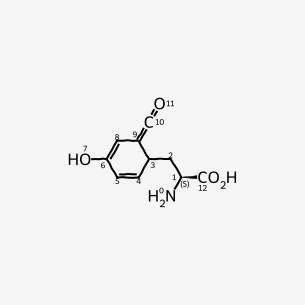 N[C@@H](CC1C=CC(O)=CC1=C=O)C(=O)O